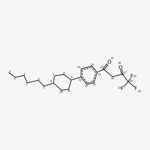 CCCCCCC1CCC(c2ccc(C(=O)CC(=O)C(F)(F)F)cc2)CC1